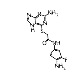 Nc1nc(SCC(=O)Nc2ccc(N)c(F)c2)c2[nH]cnc2n1